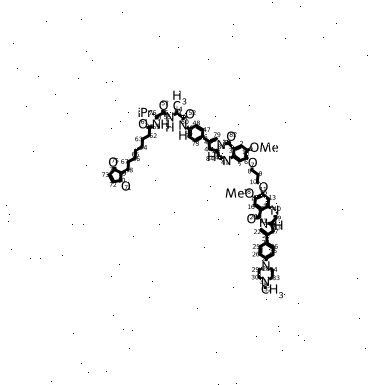 COc1cc2c(cc1OCCCOc1cc3c(cc1OC)C(=O)N1C=C(c4ccc(N5CCN(C)CC5)cc4)C[C@H]1C=N3)N=C[C@@H]1CC(c3ccc(NC(=O)C(C)NC(=O)[C@@H](NC(=O)CCCCCCCC4C(=O)C=CC4=O)C(C)C)cc3)=CN1C2=O